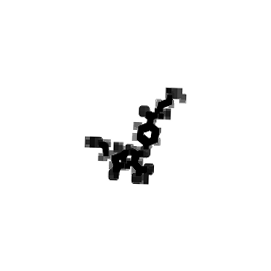 NCCNC(=O)c1ccc(OC2=C(C(=O)O)N3C(=O)[C@H](CCO)[C@H]3S2)cc1